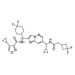 O=C(CC1CC(F)(F)C1)NC(c1cnn2cc([C@@H](NC(=O)c3nocc3C3CC3)C3CCC(F)(F)CC3)nc2c1)C1CC1